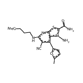 COCCCNc1nc2sc(C(N)=O)c(N)c2c(-c2ccc(C)o2)c1C#N